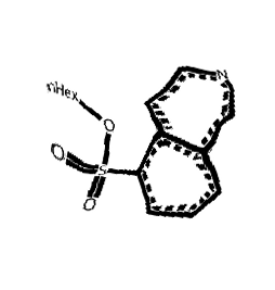 CCCCCCOS(=O)(=O)c1cccc2cnccc12